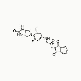 O=C1NC2CN(c3c(F)cc(NC[C@@H](O)CN4C(=O)c5ccccc5C4=O)cc3F)CC2N1